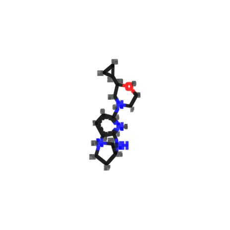 c1cc2c(nc1N1CCOC(C3CC3)C1)NC1CCN2C1